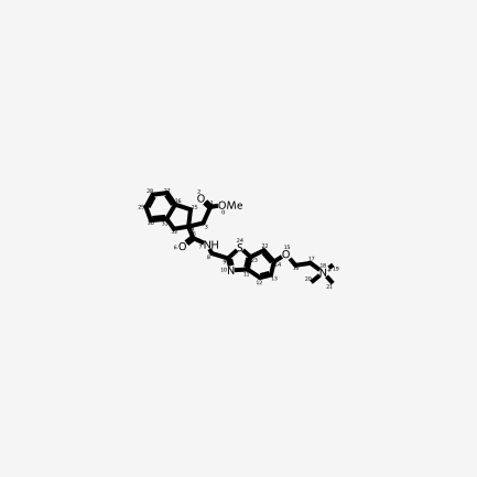 COC(=O)CC1(C(=O)NCc2nc3ccc(OCC[N+](C)(C)C)cc3s2)Cc2ccccc2C1